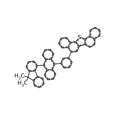 CC1(C)c2ccccc2-c2c(-c3c4ccccc4c(-c4cccc(-c5cc6c7ccc8ccccc8c7sc6c6ccccc56)c4)c4ccccc34)cccc21